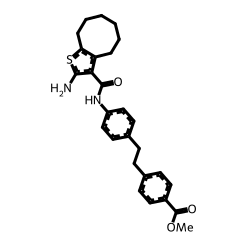 COC(=O)c1ccc(CCc2ccc(NC(=O)c3c(N)sc4c3CCCCCC4)cc2)cc1